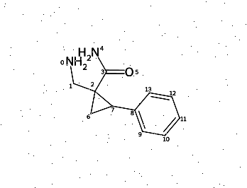 NCC1(C(N)=O)CC1c1ccccc1